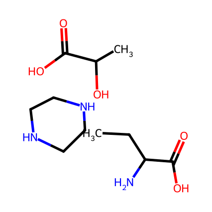 C1CNCCN1.CC(O)C(=O)O.CCC(N)C(=O)O